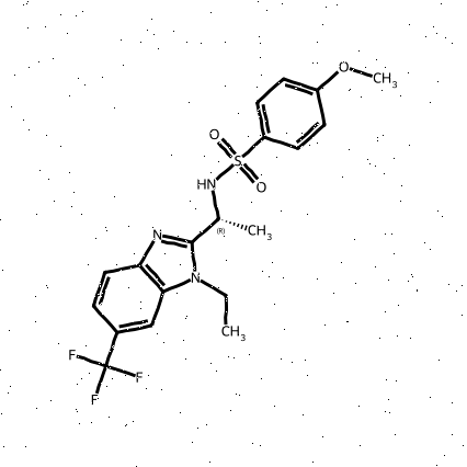 CCn1c([C@@H](C)NS(=O)(=O)c2ccc(OC)cc2)nc2ccc(C(F)(F)F)cc21